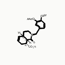 COc1ccc(CN2CC[C@H]3C=CC[C@@H](C(=O)O)[C@H]3C2=O)cc1OC